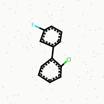 Fc1cc[c]c(-c2ccccc2Cl)c1